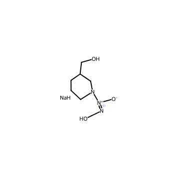 [NaH].[O-]/[N+](=N/O)N1CCCC(CO)C1